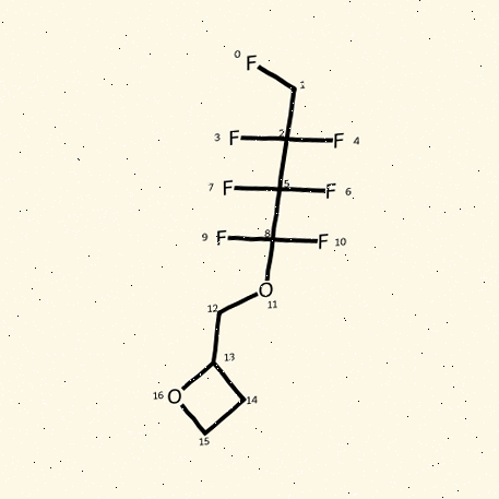 FCC(F)(F)C(F)(F)C(F)(F)OCC1CCO1